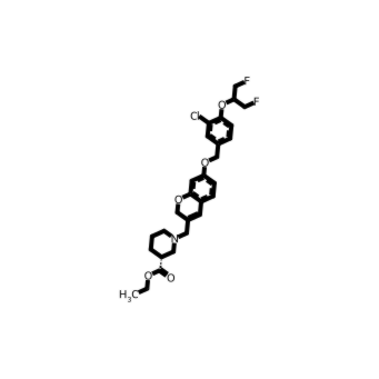 CCOC(=O)[C@@H]1CCCN(CC2=Cc3ccc(OCc4ccc(OC(CF)CF)c(Cl)c4)cc3OC2)C1